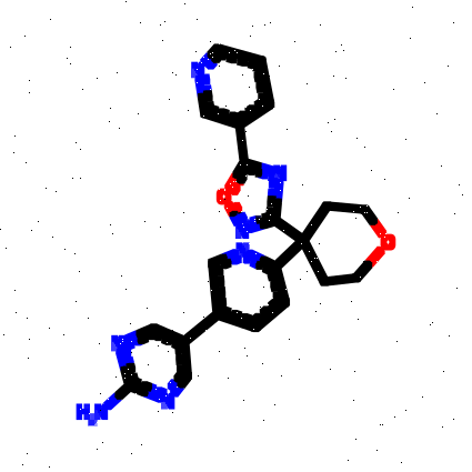 Nc1ncc(-c2ccc(C3(c4noc(-c5cccnc5)n4)CCOCC3)nc2)cn1